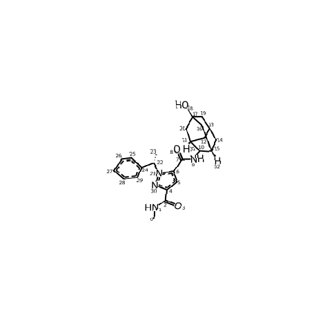 CNC(=O)c1cc(C(=O)NC2[C@H]3CC4C[C@H]2CC(O)(C4)C3)n([C@@H](C)c2ccccc2)n1